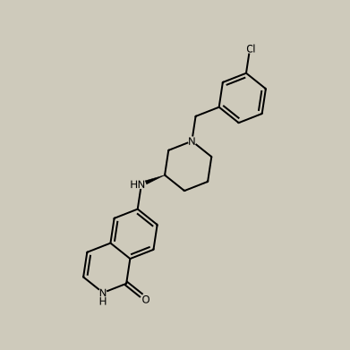 O=c1[nH]ccc2cc(N[C@@H]3CCCN(Cc4cccc(Cl)c4)C3)ccc12